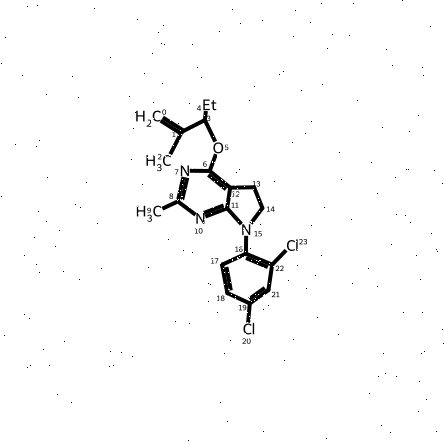 C=C(C)C(CC)Oc1nc(C)nc2c1CCN2c1ccc(Cl)cc1Cl